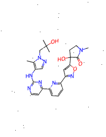 Cc1c(Nc2nccc(-c3cccc(-c4cc(C5(O)CCN(C)C5=O)on4)n3)n2)cnn1CC(C)(C)O